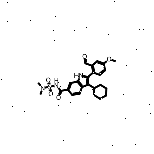 COc1ccc(-c2[nH]c3cc(C(=O)NS(=O)(=O)N(C)C)ccc3c2C2CCCCC2)c(C=O)c1